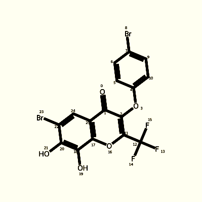 O=c1c(Oc2ccc(Br)cc2)c(C(F)(F)F)oc2c(O)c(O)c(Br)cc12